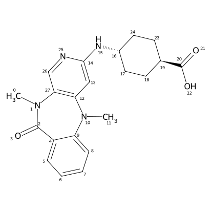 CN1C(=O)c2ccccc2N(C)c2cc(N[C@H]3CC[C@H](C(=O)O)CC3)ncc21